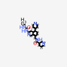 CCNC(=O)Nc1cc2c(-c3ccncc3)ccc(CNC(=O)c3cccnc3)c2cn1